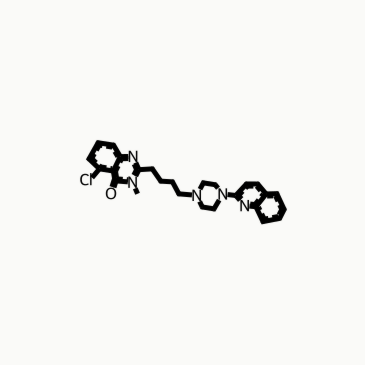 Cn1c(CCCCN2CCN(c3ccc4ccccc4n3)CC2)nc2cccc(Cl)c2c1=O